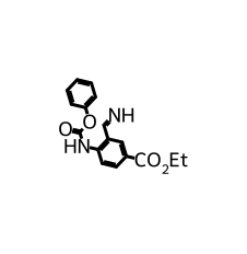 CCOC(=O)c1ccc(NC(=O)Oc2ccccc2)c(C=N)c1